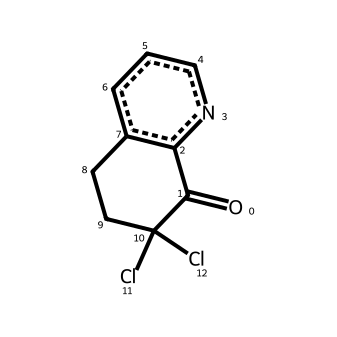 O=C1c2ncccc2CCC1(Cl)Cl